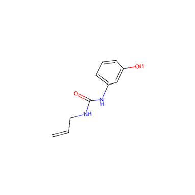 C=CCNC(=O)Nc1cccc(O)c1